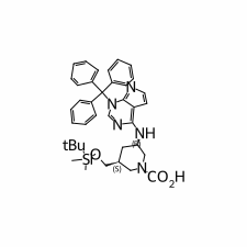 CC(C)(C)[Si](C)(C)OC[C@H]1C[C@@H](Nc2ncn(C(c3ccccc3)(c3ccccc3)c3ccccc3)c3nccc2-3)CN(C(=O)O)C1